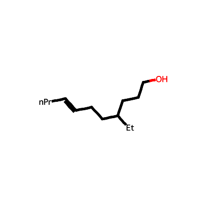 CCC/C=C/CCC(CC)CCCO